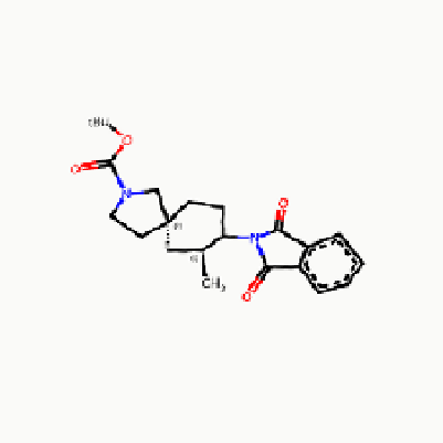 C[C@H]1C[C@]2(CCC1N1C(=O)c3ccccc3C1=O)CCN(C(=O)OC(C)(C)C)C2